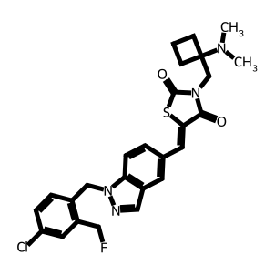 CN(C)C1(CN2C(=O)S/C(=C\c3ccc4c(cnn4Cc4ccc(Cl)cc4CF)c3)C2=O)CCC1